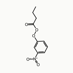 CCCC(=O)OOc1cccc([N+](=O)[O-])c1